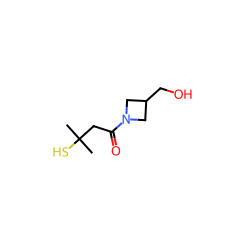 CC(C)(S)CC(=O)N1CC(CO)C1